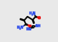 C=C(CC(=C)C(N)=O)C(N)=O.N=C=N